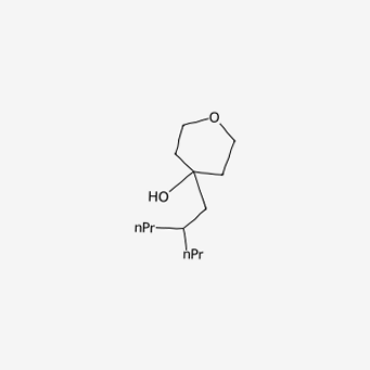 CCCC(CCC)CC1(O)CCOCC1